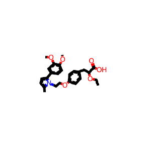 CCOC(Cc1ccc(OCCn2c(C)ccc2-c2ccc(OC)c(OC)c2)cc1)C(=O)O